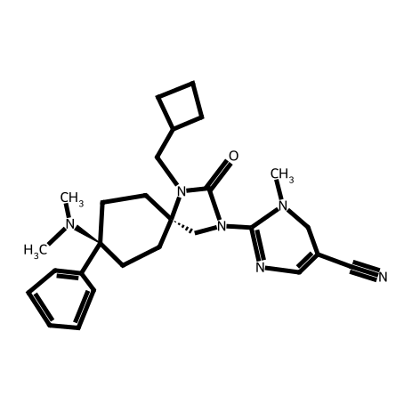 CN1CC(C#N)=CN=C1N1C[C@]2(CC[C@](c3ccccc3)(N(C)C)CC2)N(CC2CCC2)C1=O